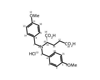 COc1ccc(CN(Cc2ccc(OC)cc2)[C@@H](CCC(=O)O)C(=O)O)cc1.Cl